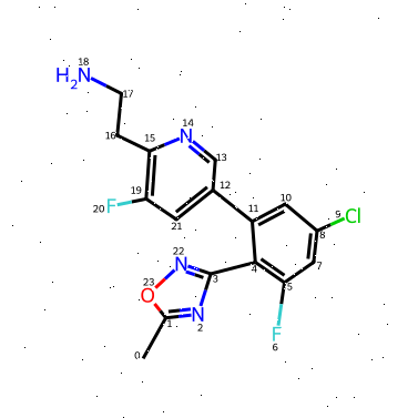 Cc1nc(-c2c(F)cc(Cl)cc2-c2cnc(CCN)c(F)c2)no1